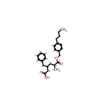 CCCCc1ccc(COC(=O)C(C)CC(CC(=O)O)Cc2ccccc2)cc1